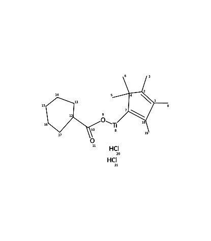 CC1=C(C)C(C)(C)[C]([Ti][O]C(=O)C2CCCCC2)=C1C.Cl.Cl